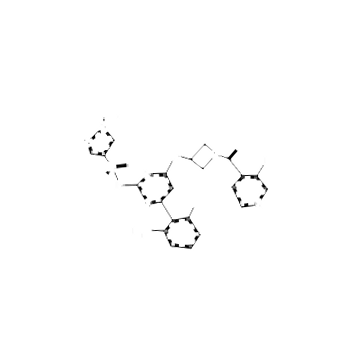 Cc1cccc(C)c1-c1cc(OC2CN(C(=O)c3ccncc3F)C2)nc(NS(=O)(=O)c2cnn(C)c2)n1